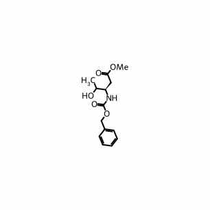 COC(=O)C[C@@H](NC(=O)OCc1ccccc1)C(C)O